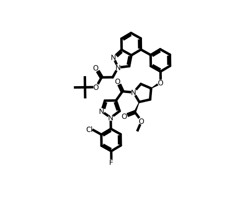 COC(=O)[C@@H]1C[C@H](Oc2cccc(-c3cccc4nn(CC(=O)OC(C)(C)C)cc34)c2)CN1C(=O)c1cnn(-c2ccc(F)cc2Cl)c1